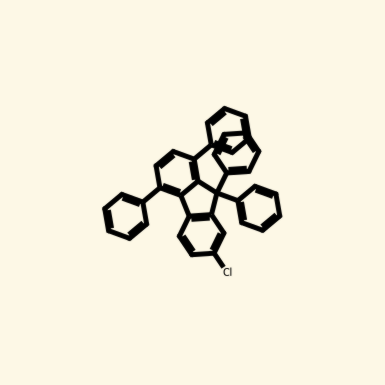 Clc1ccc2c(c1)C(c1ccccc1)(c1ccccc1)c1c(-c3ccccc3)ccc(-c3ccccc3)c1-2